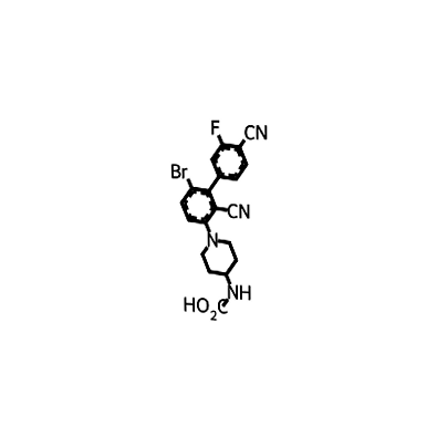 N#Cc1ccc(-c2c(Br)ccc(N3CCC(NC(=O)O)CC3)c2C#N)cc1F